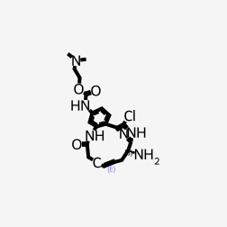 CN(C)CCOC(=O)Nc1ccc2c(c1)NC(=O)CC/C=C/C[C@H](N)c1nc-2c(Cl)[nH]1